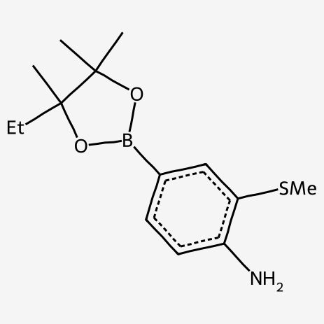 CCC1(C)OB(c2ccc(N)c(SC)c2)OC1(C)C